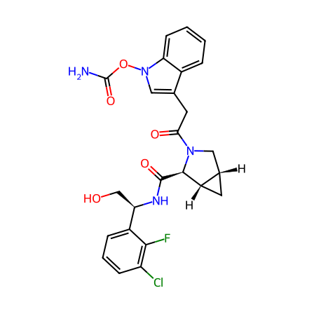 NC(=O)On1cc(CC(=O)N2C[C@@H]3C[C@@H]3[C@H]2C(=O)N[C@H](CO)c2cccc(Cl)c2F)c2ccccc21